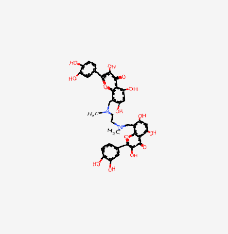 CN(CCN(C)Cc1c(O)cc(O)c2c(=O)c(O)c(-c3ccc(O)c(O)c3)oc12)Cc1c(O)cc(O)c2c(=O)c(O)c(-c3ccc(O)c(O)c3)oc12